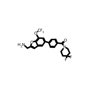 NCc1cc2cc(-c3ccc(C(=O)N4CCC(F)(F)CC4)cc3)cc(OC(F)(F)F)c2o1